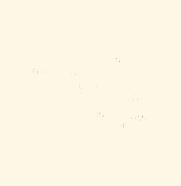 CCOC(=O)CC(=O)CSCC1=C(C(=O)OCC)C(c2cccc([N+](=O)[O-])c2)C(C(=O)OC)=C(C)N1